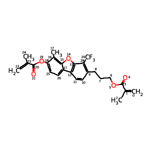 C=C(C)C(=O)OCCCc1ccc2c(oc3c(C)c(OC(=O)C(=C)C)ccc32)c1C(F)(F)F